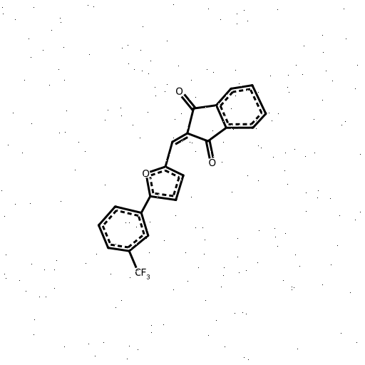 O=C1C(=Cc2ccc(-c3cccc(C(F)(F)F)c3)o2)C(=O)c2ccccc21